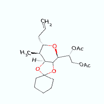 C=CC[C@@H]1O[C@@H]([C@@H](COC(C)=O)OC(C)=O)C2OC3(CCCCC3)O[C@H]2[C@H]1C